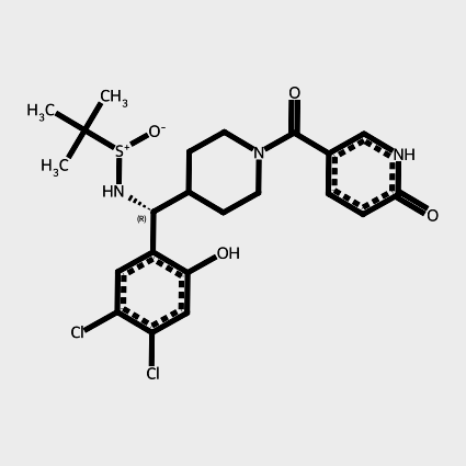 CC(C)(C)[S+]([O-])N[C@@H](c1cc(Cl)c(Cl)cc1O)C1CCN(C(=O)c2ccc(=O)[nH]c2)CC1